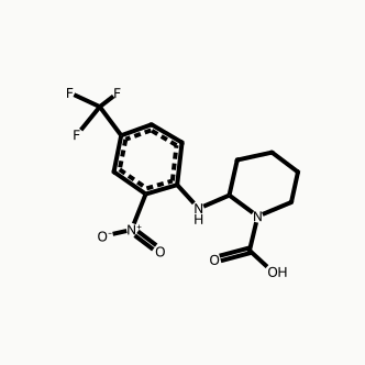 O=C(O)N1CCCCC1Nc1ccc(C(F)(F)F)cc1[N+](=O)[O-]